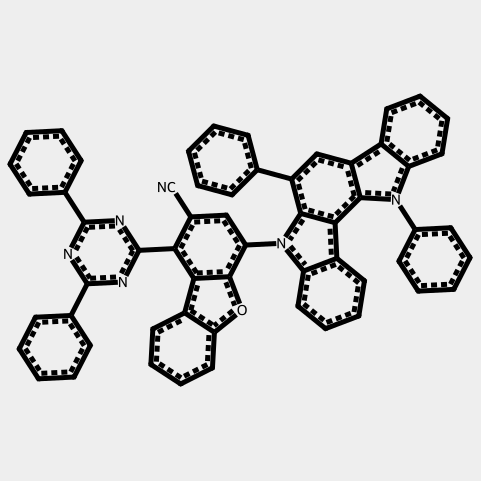 N#Cc1cc(-n2c3ccccc3c3c2c(-c2ccccc2)cc2c4ccccc4n(-c4ccccc4)c23)c2oc3ccccc3c2c1-c1nc(-c2ccccc2)nc(-c2ccccc2)n1